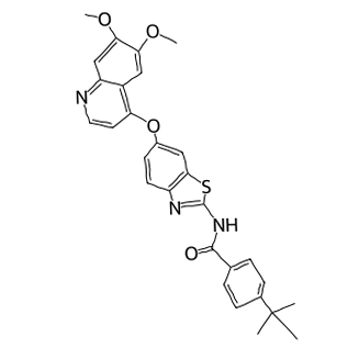 COc1cc2nccc(Oc3ccc4nc(NC(=O)c5ccc(C(C)(C)C)cc5)sc4c3)c2cc1OC